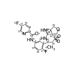 C[C@@]1(c2cc(NC(=O)c3ccc(F)cn3)ccc2F)CS(=O)(=O)[C@]2(CCOC2)C(=N)N1